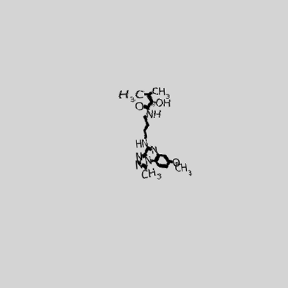 COc1ccc2c(c1)nc(NCCCCNC(=O)[C@@H](O)C(C)C)c1nnc(C)n12